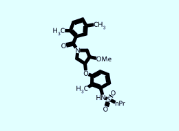 CCCS(=O)(=O)Nc1cccc(OC2CN(C(=O)c3cc(C)ccc3C)CC2OC)c1C